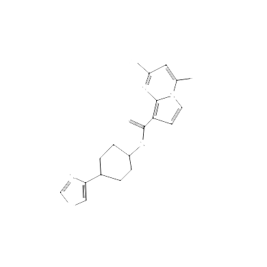 Cc1cc(C)n2ccc(C(=O)NC3CCC(c4cocn4)CC3)c2n1